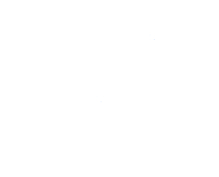 CC(C)(C)c1cc(CN)c(O)c(Br)n1.Cl.Cl